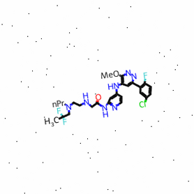 CCCN(CCNCC(=O)Nc1cc(Nc2cc(-c3cc(Cl)ccc3F)nnc2OC)ccn1)CC(C)(F)F